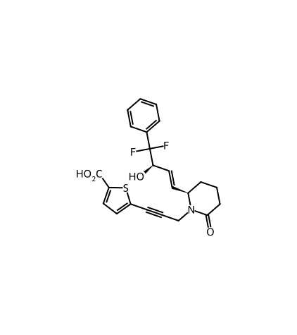 O=C(O)c1ccc(C#CCN2C(=O)CCC[C@@H]2/C=C/[C@@H](O)C(F)(F)c2ccccc2)s1